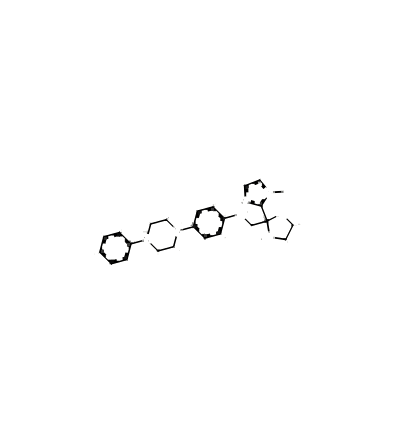 Cn1ccnc1C1(COc2ccc(N3CCN(c4ccccc4)CC3)cc2)OCCO1